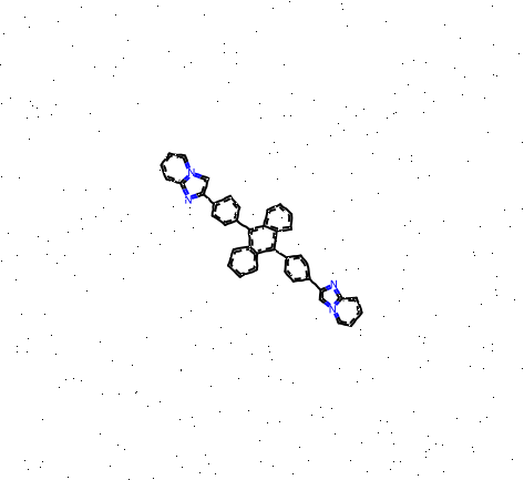 c1ccc2c(-c3ccc(-c4cn5ccccc5n4)cc3)c3ccccc3c(-c3ccc(-c4cn5ccccc5n4)cc3)c2c1